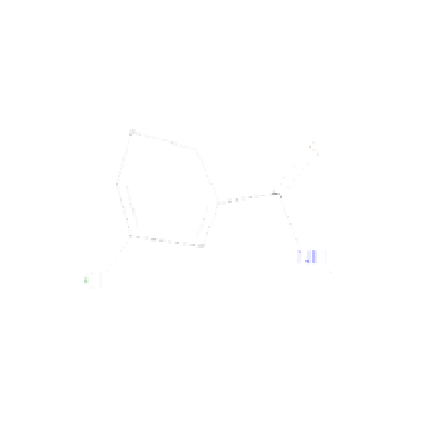 NC(=S)C1=CC(Cl)=CCC1